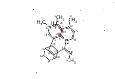 C/N=C(\C1=C(c2ccc(C)c(C)c2)C2CCC1CC2)c1ccc(C)c(C)c1